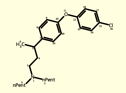 CCCCCN(CCCCC)CCC(C)c1ccc(Oc2ccc(Cl)cc2)cc1